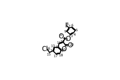 O=C(Oc1cccc(I)c1)c1cc2cc(CCl)ccc2oc1=O